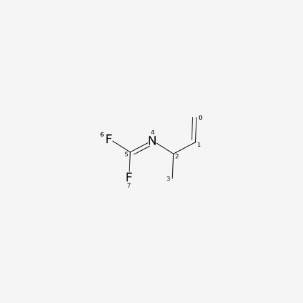 C=CC(C)N=C(F)F